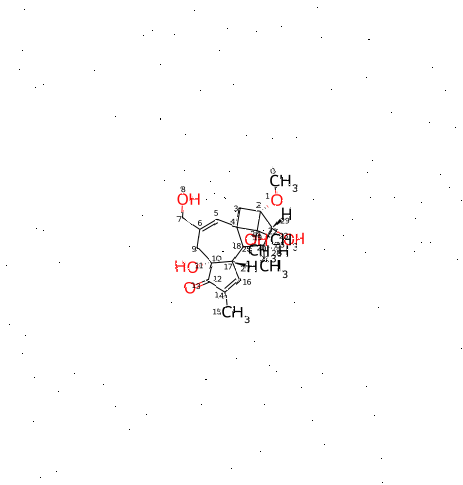 CO[C@]12CC3(C=C(CO)C[C@]4(O)C(=O)C(C)=C[C@H]4[C@@]3(O)[C@H](C)[C@H]1O)C2(C)C